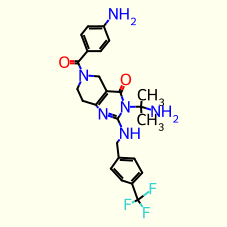 CC(C)(N)n1c(NCc2ccc(C(F)(F)F)cc2)nc2c(c1=O)CN(C(=O)c1ccc(N)cc1)CC2